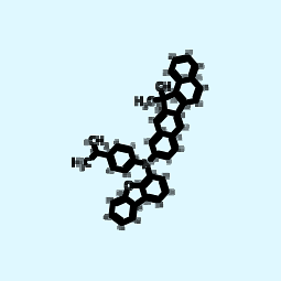 CC(C)c1ccc(N(c2ccc3cc4c(cc3c2)C(C)(C)c2c-4ccc3ccccc23)c2cccc3c2oc2ccccc23)cc1